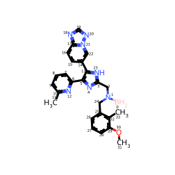 BN(Cc1nc(-c2cccc(C)n2)c(-c2ccc3ncnn3c2)[nH]1)Cc1cccc(OC)c1C